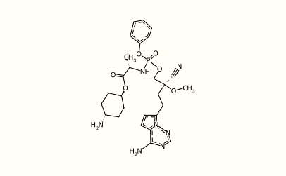 CO[C@@](C#N)(CCc1ccc2c(N)ncnn12)COP(=O)(N[C@@H](C)C(=O)O[C@H]1CC[C@H](N)CC1)Oc1ccccc1